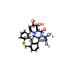 CNc1cccc2c1[C@H](C1CN([C@H](C)C(F)(F)F)C(=O)c3c(O)c(=O)c#cn31)c1ccccc1SC2